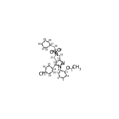 CCOc1ccccc1-n1nc2c(c1-c1ccc(Cl)cc1)CN(S(=O)(=O)Cc1ccccc1)C2